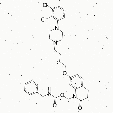 O=C(NCc1ccccc1)OCN1C(=O)CCc2ccc(OCCCCN3CCN(c4cccc(Cl)c4Cl)CC3)cc21